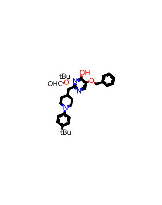 CC(C)(C)OC=O.CC(C)(C)c1ccc(N2CCC(Cc3ncc(OCc4ccccc4)c(O)n3)CC2)cc1